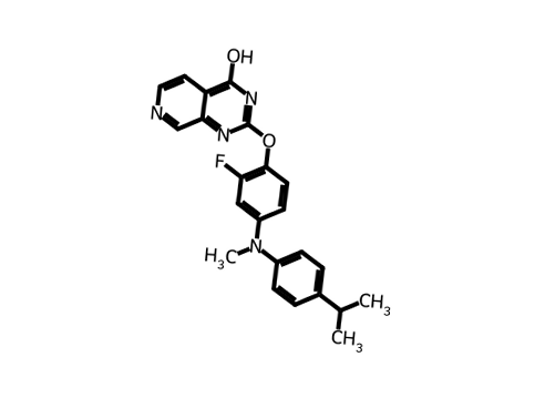 CC(C)c1ccc(N(C)c2ccc(Oc3nc(O)c4ccncc4n3)c(F)c2)cc1